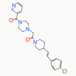 O=C(CN1CCN(C(=O)c2cccnc2)CC1)N1CCC(C=Cc2ccc(Cl)cc2)CC1